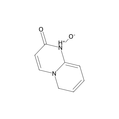 O=C1C=CN2CC=CC=C2[NH+]1[O-]